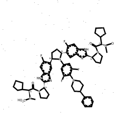 CN(C(=O)O)[C@H](C(=O)N1CCC[C@H]1c1nc2cc([C@H]3CC[C@H](c4cc5nc([C@@H]6CCCN6C(=O)[C@H](C6CCCC6)N(C)C(=O)O)[nH]c5cc4F)N3c3cc(F)c(N4CCC(c5ccccc5)CC4)c(F)c3)c(F)cc2[nH]1)C1CCCC1